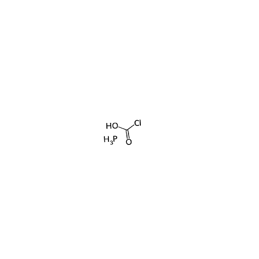 O=C(O)Cl.P